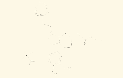 CCCCNC(=S)N[C@@H]1CC[C@@]2(c3ccc(OC)c(OC)c3)CCN(CCc3ccccc3)[C@H]2C1.O=C(O)C(F)(F)F